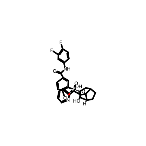 O=C(Nc1ccc(F)c(F)c1)c1ccc(Cl)c(S(=O)(=O)[C@@H]2CC3CC[C@@H](C2)[C@@]3(O)C(O)C(O)c2ccccn2)c1